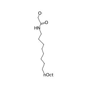 CCCCCCCCCCCCCCCCNC(=O)C[O]